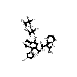 CC(NC(=O)c1c(N)nn2cccnc12)c1cc(Cl)c2cncn2c1N1CC[C@H](F)C1.O=C(O)C(F)(F)F.O=C(O)C(F)(F)F